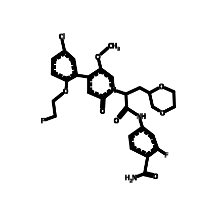 COc1cn(C(CC2COCCO2)C(=O)Nc2ccc(C(N)=O)c(F)c2)c(=O)cc1-c1cc(Cl)ccc1OCCF